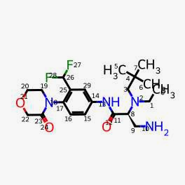 CCN(CC(C)(C)C)[C@@H](CN)C(=O)Nc1ccc(N2CCOCC2=O)c(C(F)F)c1